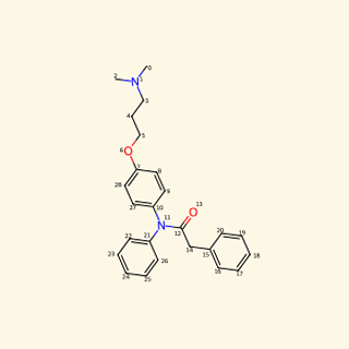 CN(C)CCCOc1ccc(N(C(=O)Cc2ccccc2)c2ccccc2)cc1